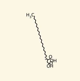 CCCCCCCCCCCCCCCCCCCCCCSC(CC(=O)O)C(=O)O